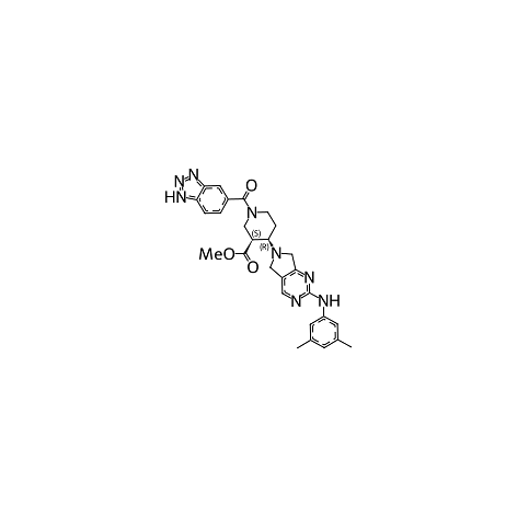 COC(=O)[C@H]1CN(C(=O)c2ccc3[nH]nnc3c2)CC[C@H]1N1Cc2cnc(Nc3cc(C)cc(C)c3)nc2C1